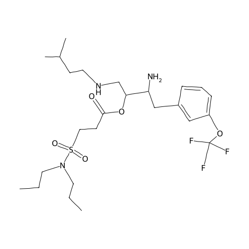 CCCN(CCC)S(=O)(=O)CCC(=O)OC(CNCCC(C)C)C(N)Cc1cccc(OC(F)(F)F)c1